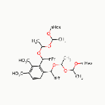 CCCCCCOC(C)OC(C)OC(CCC)c1ccc(C(=O)O)c(C(=O)O)c1C(CCC)OC(C)OC(C)OCCCCCC